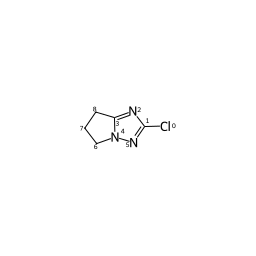 Clc1nc2n(n1)CCC2